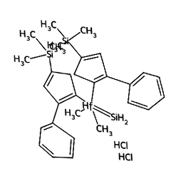 C[Si](C)(C)C1=CC(c2ccccc2)=[C]([Hf]([CH3])([CH3])(=[SiH2])[C]2=C(c3ccccc3)C=C([Si](C)(C)C)C2)C1.Cl.Cl